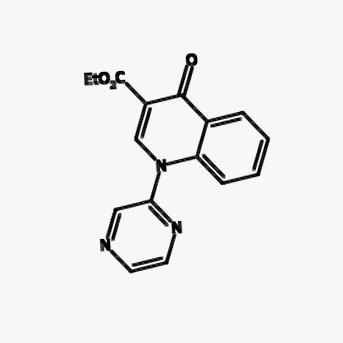 CCOC(=O)c1cn(-c2cnccn2)c2ccccc2c1=O